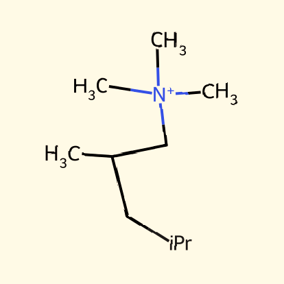 CC(C)CC(C)C[N+](C)(C)C